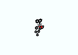 c1ccc(-c2nc(-c3ccccc3-n3c4ccccc4c4ccc5c(c6ccccc6n5-c5ccccc5)c43)nc(-c3cccc4ccccc34)n2)cc1